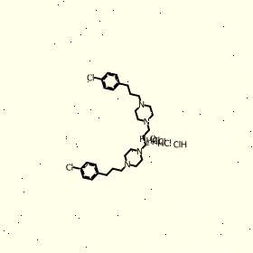 Cl.Cl.Cl.Cl.Clc1ccc(CCCN2CCN(CCCN3CCN(CCCc4ccc(Cl)cc4)CC3)CC2)cc1.O